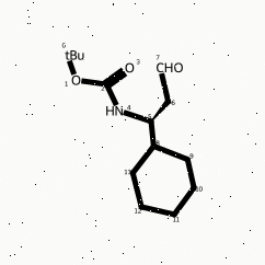 CC(C)(C)OC(=O)N[C@@H](CC=O)C1CCCCC1